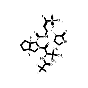 CC(C)(C)[C@@H](NC(=O)C(F)(F)F)C(=O)N1C[C@H]2CCC[C@H]2[C@@H]1C(=O)N[C@H](/C=C(/F)S(C)(=O)=O)C[C@H]1CCNC1=O